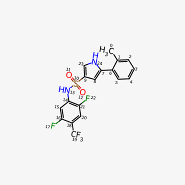 Cc1ccccc1-c1cc(S(=O)(=O)Nc2cc(F)c(C(F)(F)F)cc2F)c[nH]1